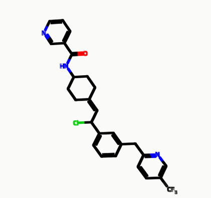 O=C(NC1CCC(=CC(Cl)c2cccc(Cc3ccc(C(F)(F)F)cn3)c2)CC1)c1cccnc1